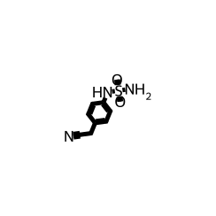 N#CCc1ccc(NS(N)(=O)=O)cc1